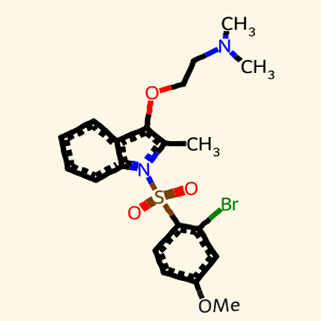 COc1ccc(S(=O)(=O)n2c(C)c(OCCN(C)C)c3ccccc32)c(Br)c1